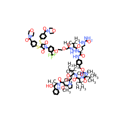 CCC(C)[C@@H]([C@@H](CC(=O)N1CCC[C@H]1[C@H](OC)[C@@H](C)C(=O)N[C@H](C)[C@@H](O)c1ccccc1)OC)N(C)C(=O)[C@@H](NC(=O)[C@H](C(C)C)N(C)C(=O)OCc1ccc(NC(=O)[C@H](CCCNC(N)=O)NC(=O)[C@@H](NC(=O)COCCOc2ccc(N3C(=O)C(Sc4ccc(C(=O)N5CCOCC5)cc4)=C(Sc4ccc(C(=O)N5CCOCC5)cc4)C3=O)cc2C(F)(F)F)C(C)C)cc1)C(C)C